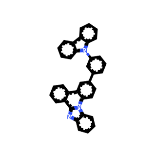 c1cc(-c2ccc3c(c2)c2ccccc2c2nc4ccccc4n32)cc(-n2c3ccccc3c3ccccc32)c1